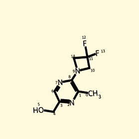 Cc1nc(CO)cnc1N1CC(F)(F)C1